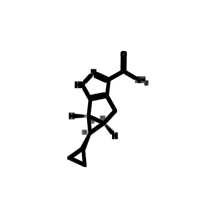 NC(=O)c1n[nH]c2c1C[C@@H]1[C@H]2[C@@H]1C1CC1